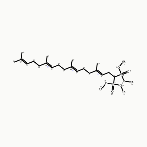 CCOP(=O)(OCC)C(C/C=C(\C)CC/C=C(\C)CC/C=C(\C)CCC=C(C)C)P(=O)(OCC)OCC